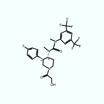 CN(C(=O)N(C)[C@@H]1CCN(C(=O)CO)C[C@H]1c1ccc(F)cc1)c1cc(C(F)(F)F)cc(C(F)(F)F)c1